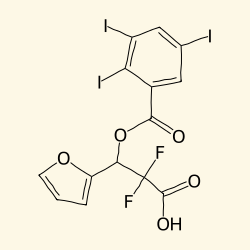 O=C(OC(c1ccco1)C(F)(F)C(=O)O)c1cc(I)cc(I)c1I